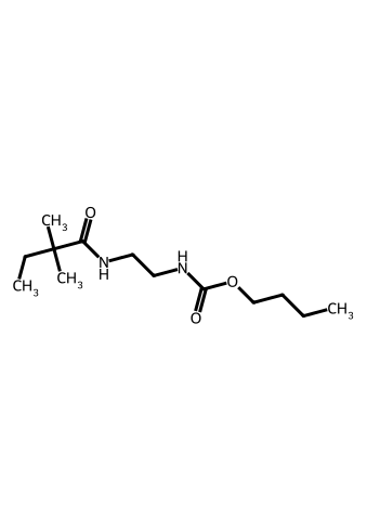 CCCCOC(=O)NCCNC(=O)C(C)(C)CC